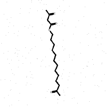 CC(=O)CCCCCCCCCCCOC(=O)CC(C)=O